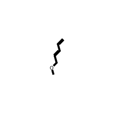 C=C/C=C/COC